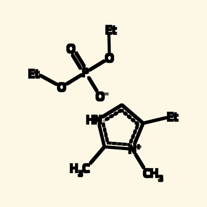 CCOP(=O)([O-])OCC.CCc1c[nH]c(C)[n+]1C